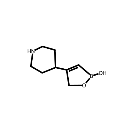 OB1C=C(C2CCNCC2)CO1